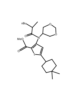 CCCCC(C)C(=O)N(c1cc(C2CCC(C)(C)CC2)sc1C(=O)OC)C1COCOC1